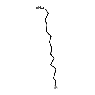 CCCCCCCCCCCCCCCCCCCCCCC(C)C